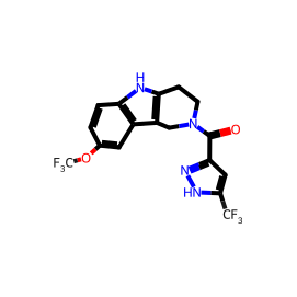 O=C(c1cc(C(F)(F)F)[nH]n1)N1CCc2[nH]c3ccc(OC(F)(F)F)cc3c2C1